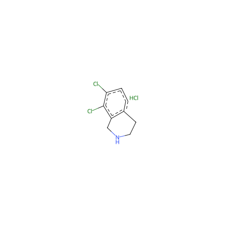 Cl.Clc1ccc2c(c1Cl)CNCC2